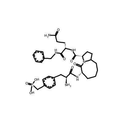 NC(=O)CC[C@H](NC(=O)[C@@H]1CCC2CCCC[C@H](NC(=O)[C@@H](N)Cc3ccc(CP(=O)(O)O)cc3)C(=O)N21)C(=O)NCc1ccccc1